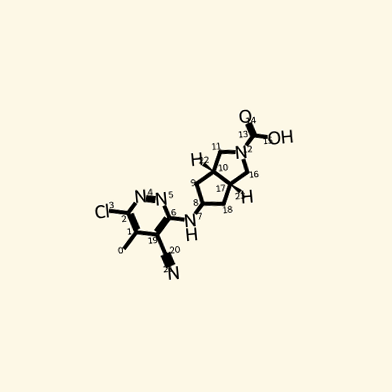 Cc1c(Cl)nnc(NC2C[C@@H]3CN(C(=O)O)C[C@@H]3C2)c1C#N